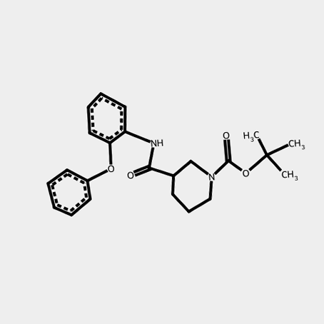 CC(C)(C)OC(=O)N1CCCC(C(=O)Nc2ccccc2Oc2ccccc2)C1